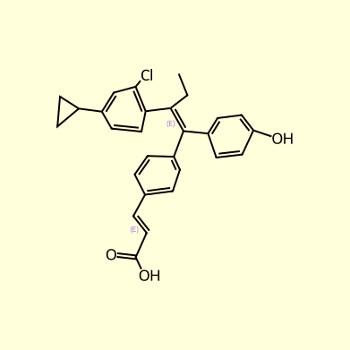 CC/C(=C(\c1ccc(O)cc1)c1ccc(/C=C/C(=O)O)cc1)c1ccc(C2CC2)cc1Cl